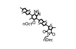 CCCCCCCCCCCCN1C(=O)c2c(C)sc(-c3cc4sc(-c5c(OCCCCCCCC)c(C)c(-c6cc7sc(C)cc7s6)c6nsnc56)cc4s3)c2C1=O